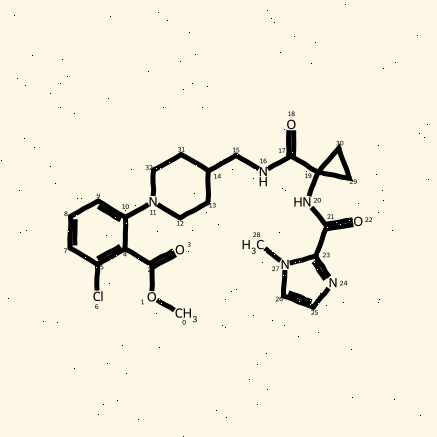 COC(=O)c1c(Cl)cccc1N1CCC(CNC(=O)C2(NC(=O)c3nccn3C)CC2)CC1